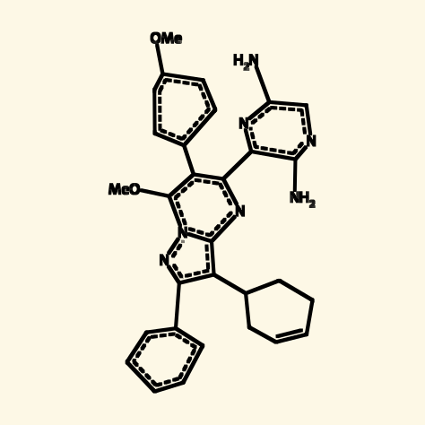 COc1ccc(-c2c(-c3nc(N)cnc3N)nc3c(C4CC=CCC4)c(-c4ccccc4)nn3c2OC)cc1